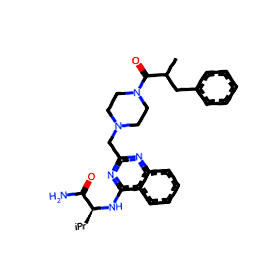 CC(Cc1ccccc1)C(=O)N1CCN(Cc2nc(N[C@H](C(N)=O)C(C)C)c3ccccc3n2)CC1